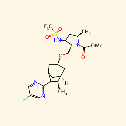 COC(=O)N1[C@H](C)C[C@H](NS(=O)(=O)C(F)(F)F)[C@@H]1CO[C@@H]1CC2C[C@@H](C1)[C@@H](C)C2c1ncc(F)cn1